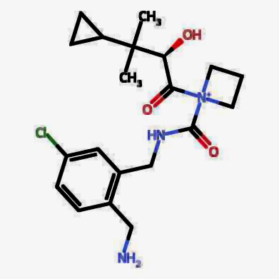 CC(C)(C1CC1)[C@@H](O)C(=O)[N+]1(C(=O)NCc2cc(Cl)ccc2CN)CCC1